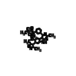 COc1cc2c(cc1-c1c(C)noc1C)[nH]c1nc(C)nc(-c3cccc(NC(=O)C(C)(C)C)c3)c12